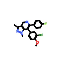 COc1ccc(-c2c(-c3ccc(F)cc3)n[c]c3c(C)nn(C)c23)cc1Cl